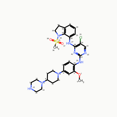 COc1cc(N2CCC(N3CCNCC3)CC2)ccc1Nc1ncc(Cl)c(Nc2cccc3c2N(S(C)(=O)=O)CC3)n1